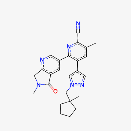 Cc1cc(-c2cnn(CC3(C)CCCC3)c2)c(-c2cnc3c(c2)C(=O)N(C)C3)nc1C#N